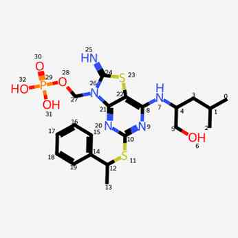 CC(C)CC(CO)Nc1nc(SC(C)c2ccccc2)nc2c1sc(=N)n2COP(=O)(O)O